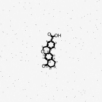 O=C(O)c1ccc2c(c1)COc1cc3c(cc1-2)CCCC3=O